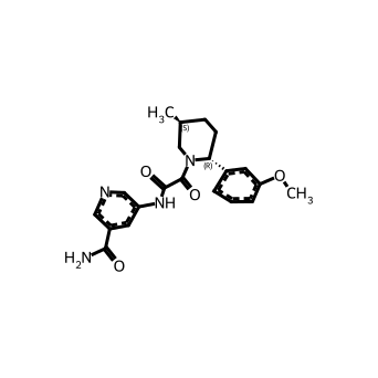 COc1cccc([C@H]2CC[C@H](C)CN2C(=O)C(=O)Nc2cncc(C(N)=O)c2)c1